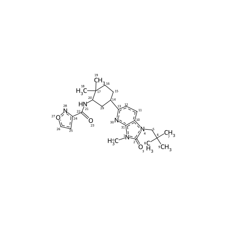 Cn1c(=O)n(CC(C)(C)C)c2ccc(C3CCC(C)(C)C(NC(=O)c4ccon4)C3)nc21